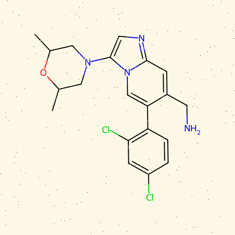 CC1CN(c2cnc3cc(CN)c(-c4ccc(Cl)cc4Cl)cn23)CC(C)O1